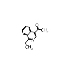 CCc1ncc(C(C)=O)c2ccccc12